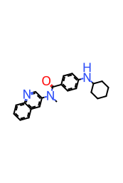 CN(C(=O)c1ccc(NC2CCCCC2)cc1)c1cnc2ccccc2c1